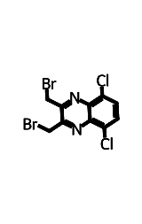 Clc1ccc(Cl)c2nc(CBr)c(CBr)nc12